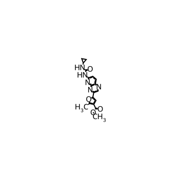 COC(=O)c1cc(-c2cnc3ccc(NC(=O)NC4CC4)nc3n2)oc1C